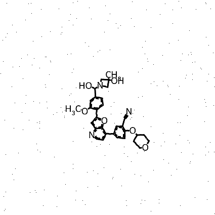 COc1cc(C(O)N2CC(C)(O)C2)ccc1-c1cc2nccc(-c3ccc(OC4CCOCC4)c(C#N)c3)c2o1